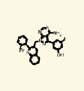 CC(C)c1ccccc1-c1nc2ccccc2cc1Cn1nc(-c2cc(O)cc(F)c2)c2c(N)ncnc21